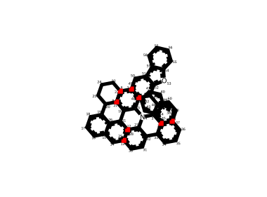 c1ccc(N(c2ccccc2-c2cccc3cccc(C4CCCCC4)c23)c2ccccc2-c2cccc3oc4ccccc4c23)c(-c2cccc3c2oc2ccccc23)c1